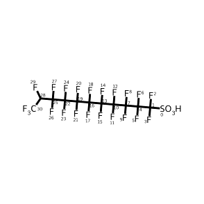 O=S(=O)(O)C(F)(F)C(F)(F)C(F)(F)C(F)(F)C(F)(F)C(F)(F)C(F)(F)C(F)(F)C(F)(F)C(F)C(F)(F)F